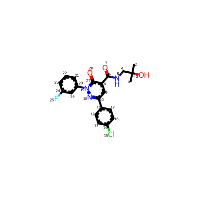 CC(C)(O)CNC(=O)c1cc(-c2ccc(Cl)cc2)nn(-c2cccc(F)c2)c1=O